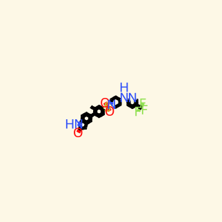 Cc1cc(S(=O)(=O)N2CCC(Nc3ccc(C(F)(F)F)cn3)CC2)ccc1-c1ccc2c(c1)CC(=O)N2